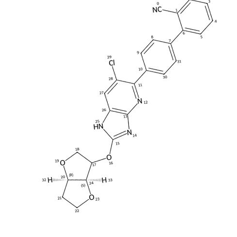 N#Cc1ccccc1-c1ccc(-c2nc3nc(OC4CO[C@@H]5CCO[C@H]45)[nH]c3cc2Cl)cc1